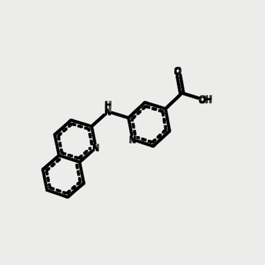 O=C(O)c1ccnc(Nc2ccc3ccccc3n2)c1